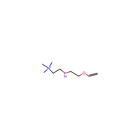 C=COCCPCC[N+](C)(C)C